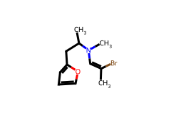 CC(Br)=CN(C)C(C)Cc1ccco1